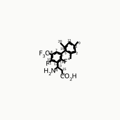 Cc1cc(C)c(-c2cc(C(F)(F)F)c(F)c(C(N)CC(=O)O)c2F)c(C)c1